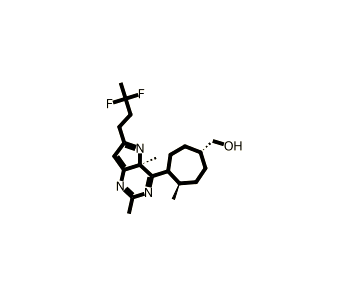 CC1=NC2=CC(CCC(C)(F)F)=N[C@@]2(C)C(C2CC[C@H](CO)CC[C@H]2C)=N1